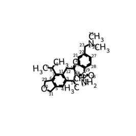 CC(C)c1cc2c(c(C(C)C)c1CC(=O)N=S(N)(=O)c1ccc(CN(C)C)cc1)COC2